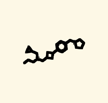 CCCN(CC1CC1)CC1CC(c2ccc(CN3CCCC3)cc2)C1